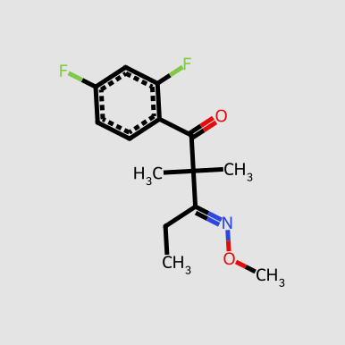 CCC(=NOC)C(C)(C)C(=O)c1ccc(F)cc1F